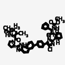 COC(=O)N[C@H](C(=O)N1CCC[C@H]1c1nc2ccc3cc(-c4ccc(-c5[nH]c([C@@H]6[C@H]7CC[C@H](C7)N6C(=O)[C@H](NC(=O)OC)c6ccccc6)nc5Cl)cc4)ccc3c2[nH]1)C(C)C